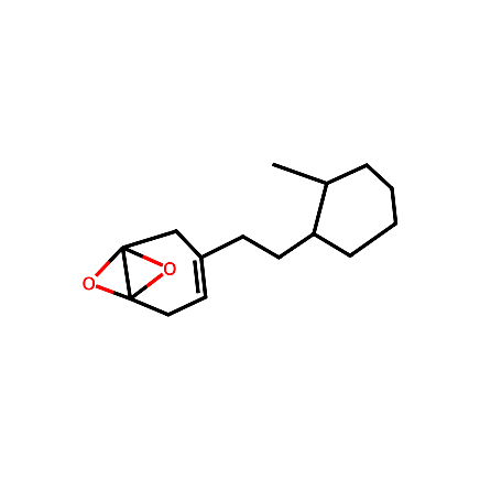 CC1CCCCC1CCC1=CCC23OC2(C1)O3